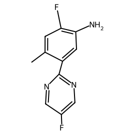 Cc1cc(F)c(N)cc1-c1ncc(F)cn1